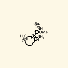 COc1cc(-c2nn3c4c(cnc(N)c24)/C=C/CCCCCC(=O)NC(C)CC3)ccc1NC(=O)OC(C)(C)C